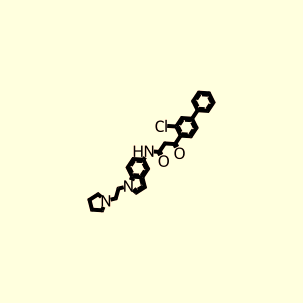 O=C(CC(=O)c1ccc(-c2ccccc2)cc1Cl)Nc1ccc2c(ccn2CCN2CCCC2)c1